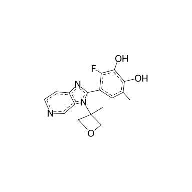 Cc1cc(-c2nc3ccncc3n2C2(C)COC2)c(F)c(O)c1O